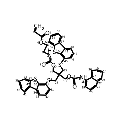 C=CC(=O)OCCNC(=O)OCC(COC(=O)Nc1cccc2ccccc12)(CSc1cccc2c1sc1ccccc12)CSc1cccc2c1sc1ccccc12